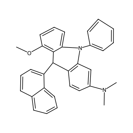 COc1cccc2c1C(c1cccc3ccccc13)c1ccc(N(C)C)cc1N2c1ccccc1